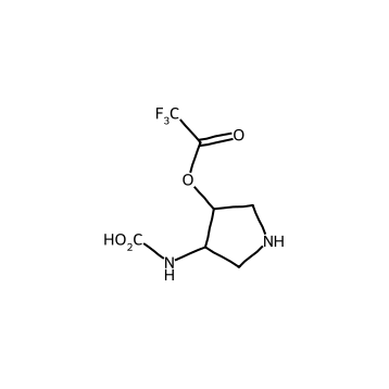 O=C(O)NC1CNCC1OC(=O)C(F)(F)F